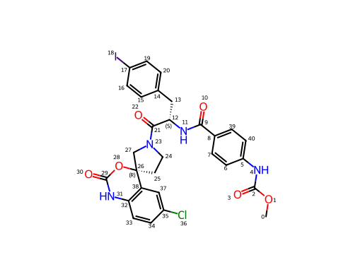 COC(=O)Nc1ccc(C(=O)N[C@@H](Cc2ccc(I)cc2)C(=O)N2CC[C@@]3(C2)OC(=O)Nc2ccc(Cl)cc23)cc1